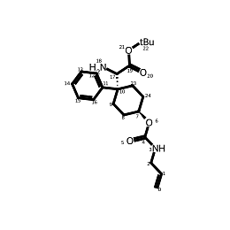 C=CCNC(=O)O[C@H]1CC[C@](c2ccccc2)(C(N)C(=O)OC(C)(C)C)CC1